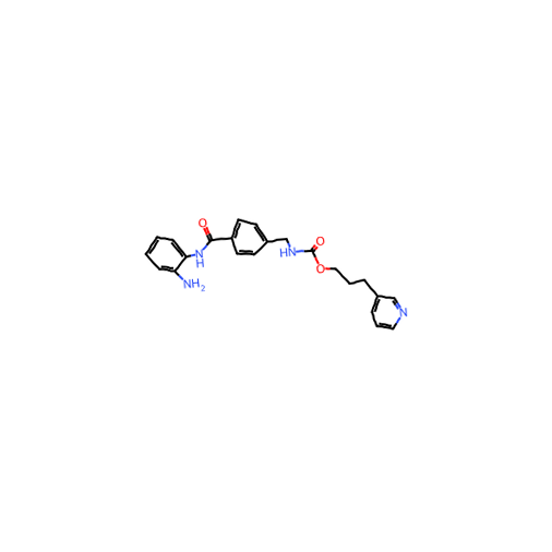 Nc1ccccc1NC(=O)c1ccc(CNC(=O)OCCCc2cccnc2)cc1